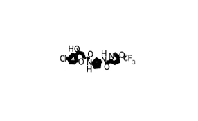 O=C(NC12CCC(NC(=O)[C@H]3C[C@@H](O)c4cc(Cl)ccc4O3)(C1)C2)c1ccc(OC(F)(F)F)cn1